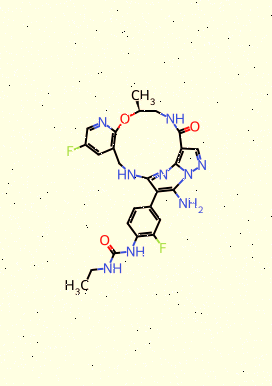 CCNC(=O)Nc1ccc(-c2c3nc4c(cnn4c2N)C(=O)NC[C@H](C)Oc2ncc(F)cc2CN3)cc1F